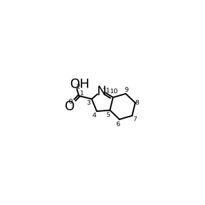 O=C(O)C1CC2CCCCC2=N1